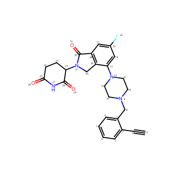 C#Cc1ccccc1CN1CCN(c2cc(F)cc3c2CN(C2CCC(=O)NC2=O)C3=O)CC1